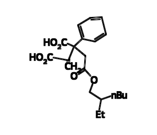 C=C(C(=O)O)C(CC(=O)OCC(CC)CCCC)(C(=O)O)c1ccccc1